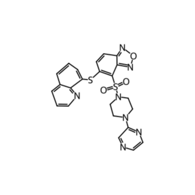 O=S(=O)(c1c(Sc2cccc3cccnc23)ccc2nonc12)N1CCN(c2cnccn2)CC1